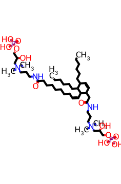 CCCCCCC1C=CC(CC(=O)NCCC[N+](C)(C)CC(O)COP(=O)(O)O)C(/C=C\CCCCCCCC(=O)NCCC[N+](C)(C)CC(O)COP(=O)(O)O)C1CCCCCC